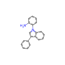 Nc1ccccc1-n1cc(-c2ccccc2)c2ccccc21